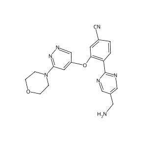 N#Cc1ccc(-c2ncc(CN)cn2)c(Oc2cnnc(N3CCOCC3)c2)c1